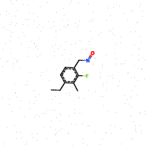 CCc1ccc(CN=O)c(F)c1C